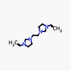 C=CN1CCN(CCN2CCN(C=C)C2)C1